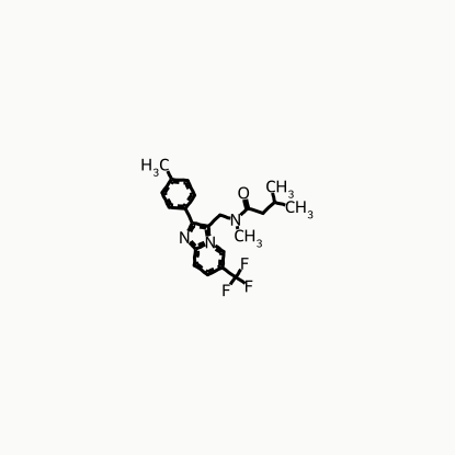 Cc1ccc(-c2nc3ccc(C(F)(F)F)cn3c2CN(C)C(=O)CC(C)C)cc1